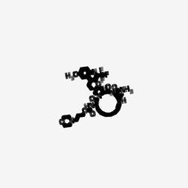 Cc1ccc2nc(C(F)(F)F)c3c(c2c1)CC[C@]1(C[C@H]2C(=O)N[C@]4(C(N)=O)C[C@H]4/C=C\CCCCC[C@H](NC(=O)OCCCN4CCOCC4)C(=O)N2C1)O3